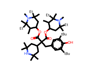 CCC1(C)CC(OC(=O)C(Cc2cc(C(C)(C)C)c(O)c(C(C)(C)C)c2)(C(=O)OC2CC(C)(CC)N(C)C(C)(CC)C2C)C2CC(C)(C)NC(C)(C)C2)C(C)C(C)(CC)N1C